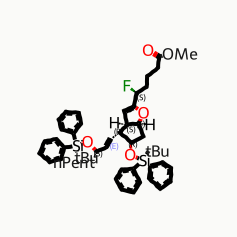 CCCCC[C@@H](/C=C/[C@@H]1[C@H]2C=C([C@@H](F)CCCC(=O)OC)O[C@H]2C[C@H]1O[Si](c1ccccc1)(c1ccccc1)C(C)(C)C)O[Si](c1ccccc1)(c1ccccc1)C(C)(C)C